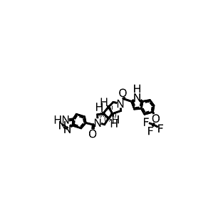 O=C(c1ccc2[nH]nnc2c1)N1C[C@@H]2[C@H](C1)[C@H]1CN(C(=O)c3cc4cc(OC(F)(F)F)ccc4[nH]3)C[C@@H]21